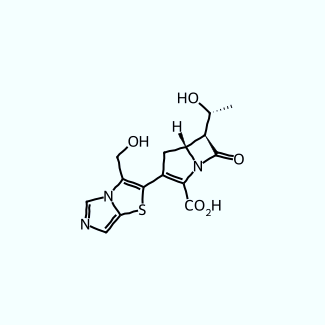 C[C@@H](O)[C@H]1C(=O)N2C(C(=O)O)=C(c3sc4cncn4c3CO)C[C@H]12